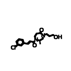 C[C@@H]1CN(CCCO)C(=O)CCN1C(=O)C=Cc1cccc(Cl)c1